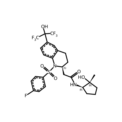 C[C@@]1(O)CCC[C@H]1NC(=O)C[C@@H]1CCc2cc(C(O)(C(F)(F)F)C(F)(F)F)ccc2N1S(=O)(=O)c1ccc(F)cc1